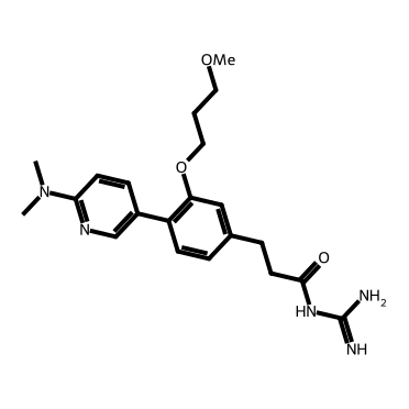 COCCCOc1cc(CCC(=O)NC(=N)N)ccc1-c1ccc(N(C)C)nc1